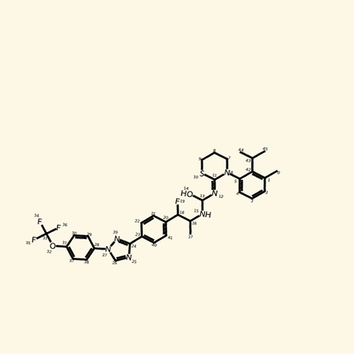 Cc1cccc(N2CCCS/C2=N\C(O)NC(C)C(F)c2ccc(-c3ncn(-c4ccc(OC(F)(F)F)cc4)n3)cc2)c1C(C)C